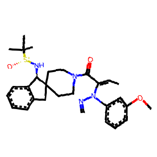 C=NN(/C(=C\C)C(=O)N1CCC2(CC1)Cc1ccccc1[C@H]2N[S@+]([O-])C(C)(C)C)c1cccc(OC)c1